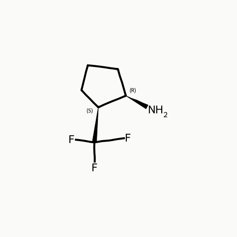 N[C@@H]1CCC[C@@H]1C(F)(F)F